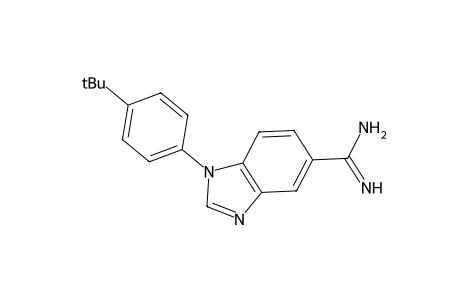 CC(C)(C)c1ccc(-n2cnc3cc(C(=N)N)ccc32)cc1